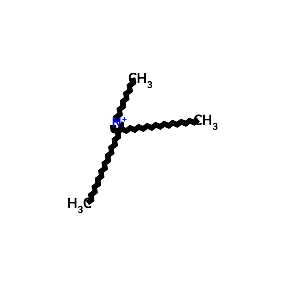 CCCCCCCCCCCCCCCCCCc1cc[n+](CCCCCCCCCCC)cc1CCCCCCCCCCCCCCCCCC